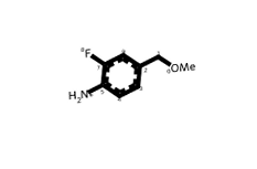 COCc1ccc(N)c(F)c1